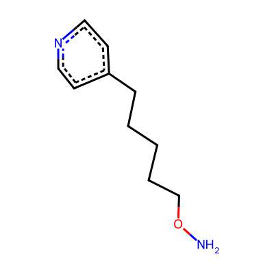 NOCCCCCc1ccncc1